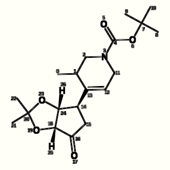 CC1CN(C(=O)OC(C)(C)C)CC=C1[C@H]1CC(=O)[C@@H]2OC(C)(C)O[C@H]12